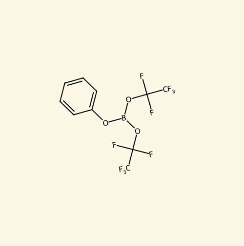 FC(F)(F)C(F)(F)OB(Oc1ccccc1)OC(F)(F)C(F)(F)F